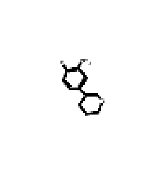 Nc1cc(C2CCCOC2)ccc1F